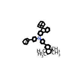 CC1(C)CCC(C)(C)c2cc(-c3ccc(N(c4ccc(C56CC7CC(CC5C7)C6)cc4)c4ccc5c(c4)-c4ccccc4C54C5CC6CC7CC4C75C6)cc3)ccc21